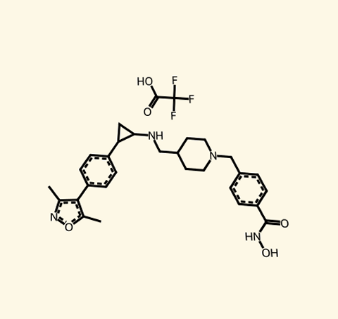 Cc1noc(C)c1-c1ccc(C2CC2NCC2CCN(Cc3ccc(C(=O)NO)cc3)CC2)cc1.O=C(O)C(F)(F)F